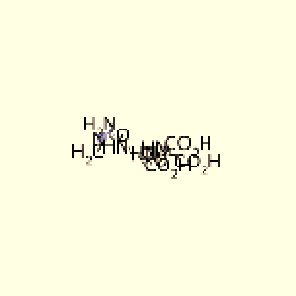 C=C/N=C\C(=C/N)CC(=O)NCCCC[C@H](NC(=O)N[C@@H](CCC(=O)O)C(=O)O)C(=O)O